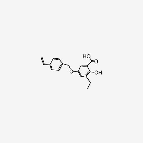 C=Cc1ccc(COc2cc(CC)c(O)c(C(=O)O)c2)cc1